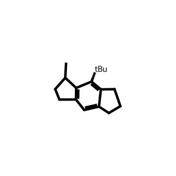 CC1CCc2cc3c(c(C(C)(C)C)c21)CCC3